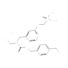 CCN(C(=O)OCc1ccc(CN)cc1)[C@H](C)c1ccnc(SCP(C)(=O)O)c1